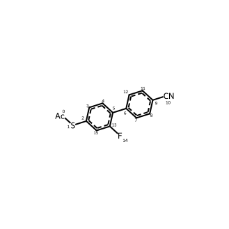 CC(=O)Sc1ccc(-c2ccc(C#N)cc2)c(F)c1